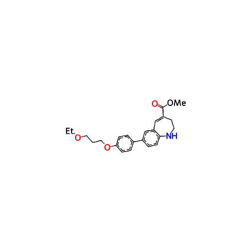 CCOCCCOc1ccc(-c2ccc3c(c2)C=C(C(=O)OC)CCN3)cc1